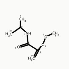 C=C(COC)C(=O)NC(C)C